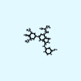 Cc1cc(-c2cc(N[S+](C)[O-])c3ncn(Cc4cccc(F)c4)c3c2)cn(C)c1=O